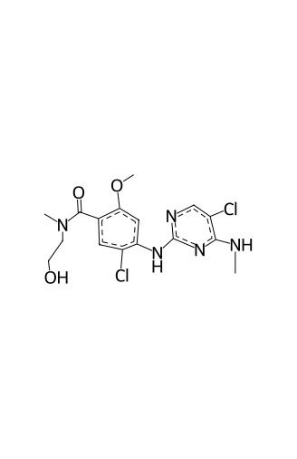 CNc1nc(Nc2cc(OC)c(C(=O)N(C)CCO)cc2Cl)ncc1Cl